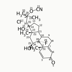 C[C@]12C=CC(=O)C=C1CCC1C3CC[C@](O)([C@H](Cl)[Si](C)(C)OC#N)[C@@]3(C)C[C@H](O)[C@@]12F